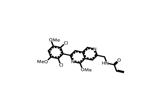 C=CC(=O)NCc1cc2c(OC)nc(-c3c(Cl)c(OC)cc(OC)c3Cl)cc2cn1